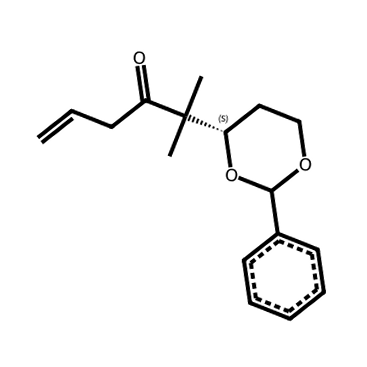 C=CCC(=O)C(C)(C)[C@@H]1CCOC(c2ccccc2)O1